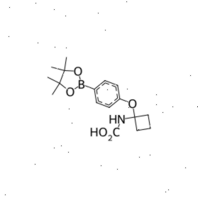 CC1(C)OB(c2ccc(OC3(NC(=O)O)CCC3)cc2)OC1(C)C